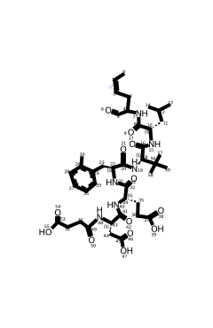 C/C=C\CC(C=O)NC(=O)[C@H](CC(C)C)NC(=O)[C@@H](NC(=O)[C@H](Cc1ccccc1C)NC(=O)[C@H](CCC(=O)O)NC(=O)[C@H](CC(=O)O)NC(=O)CCC(=O)O)C(C)(C)C